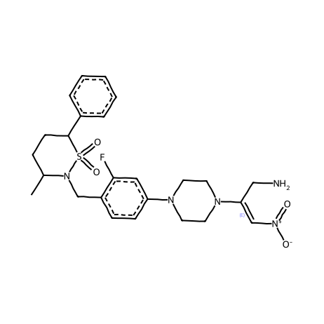 CC1CCC(c2ccccc2)S(=O)(=O)N1Cc1ccc(N2CCN(/C(=C/[N+](=O)[O-])CN)CC2)cc1F